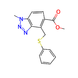 COC(=O)c1ccc2c(nnn2C)c1CSc1ccccc1